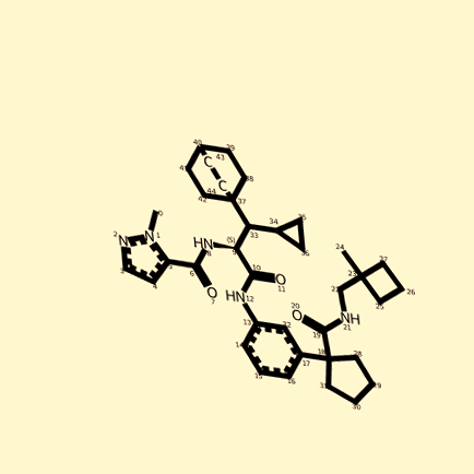 Cn1nccc1C(=O)N[C@H](C(=O)Nc1cccc(C2(C(=O)NCC3(C)CCC3)CCCC2)c1)C(C1CC1)C12CCC(CC1)CC2